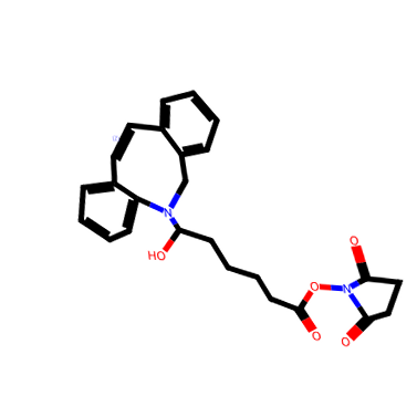 O=C(CCCCC(O)N1Cc2ccccc2/C=C\c2ccccc21)ON1C(=O)CCC1=O